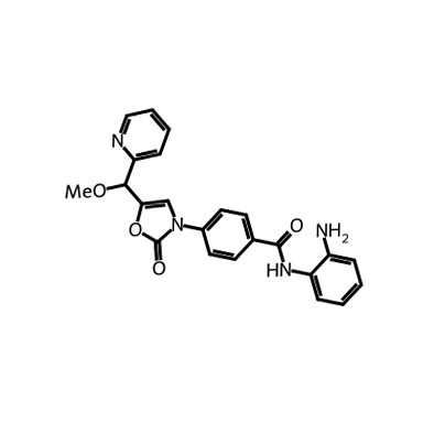 COC(c1ccccn1)c1cn(-c2ccc(C(=O)Nc3ccccc3N)cc2)c(=O)o1